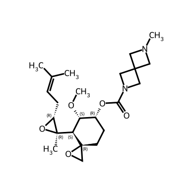 CO[C@@H]1[C@H](OC(=O)N2CC3(CN(C)C3)C2)CC[C@]2(CO2)[C@H]1[C@@]1(C)O[C@@H]1CC=C(C)C